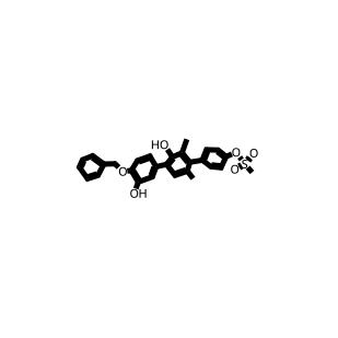 Cc1cc(-c2ccc(OCc3ccccc3)c(O)c2)c(O)c(C)c1-c1ccc(OS(C)(=O)=O)cc1